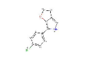 Brc1ccc(-c2[nH]cc3c2OCC3)cc1